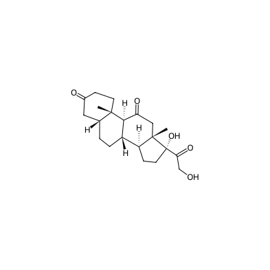 C[C@]12CCC(=O)C[C@H]1CC[C@@H]1[C@@H]2C(=O)C[C@@]2(C)[C@H]1CC[C@]2(O)C(=O)CO